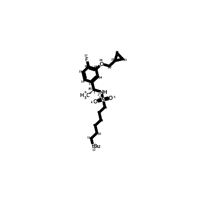 C[C@@H](NS(=O)(=O)CCCCCCC(C)(C)C)c1ccc(F)c(OCC2CC2)c1